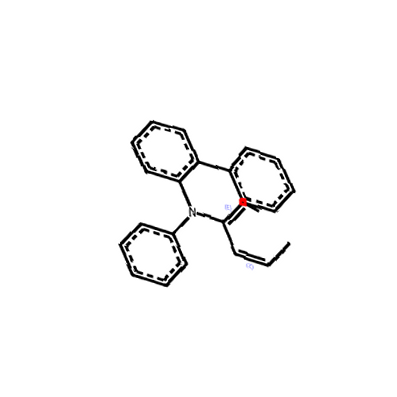 C/C=C\C(=C/C)N(c1ccccc1)c1ccccc1-c1ccccc1